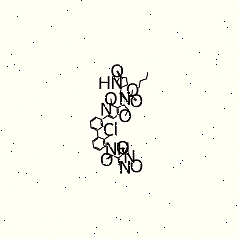 CCCCOC(=O)N(C[C@@H]1CCC(=O)N1)[C@@H]1COc2cc(-c3cccc(-c4cccc(NC(=O)c5cn(C)c(=O)n(C)c5=O)c4C)c3Cl)nc(OC)c21